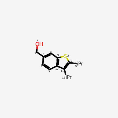 CC(C)c1sc2cc(CO)ccc2c1C(C)C